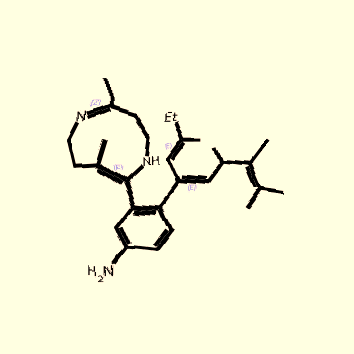 CC/C(C)=C/C(=C\C(C)C(C)=C(C)C)c1ccc(N)cc1/C1=C(/C)CC/N=C(/C)CCN1